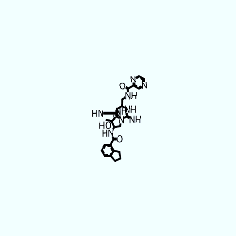 CC1C(NC(=O)c2cccc3c2CCC3)CN2C(=N)NC(CNC(=O)c3cnccn3)C3NC(=N)N(O)[C@@]132